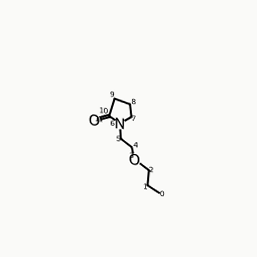 CCCOCCN1CCCC1=O